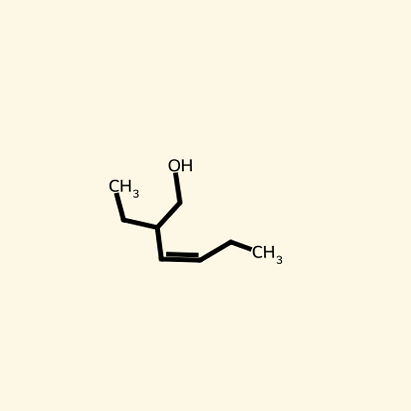 CC/C=C\C(CC)CO